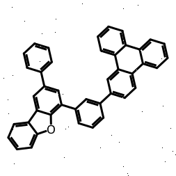 c1ccc(-c2cc(-c3cccc(-c4ccc5c6ccccc6c6ccccc6c5c4)c3)c3oc4ccccc4c3c2)cc1